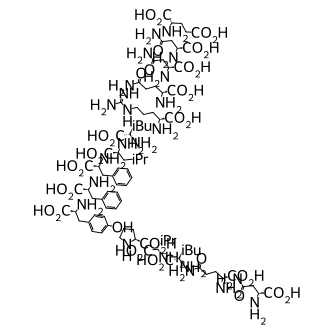 CC(C)C[C@H](N)C(=O)O.CC(C)[C@H](N)C(=O)O.CC[C@H](C)[C@H](N)C(=O)O.CC[C@H](C)[C@H](N)C(=O)O.N=C(N)NCCC[C@H](N)C(=O)O.NC(=O)CC[C@H](N)C(=O)O.NC(=O)CC[C@H](N)C(=O)O.NC(=O)C[C@H](N)C(=O)O.NC(=O)C[C@H](N)C(=O)O.NC(=O)C[C@H](N)C(=O)O.N[C@@H](CCC(=O)O)C(=O)O.N[C@@H](Cc1ccc(O)cc1)C(=O)O.N[C@@H](Cc1ccccc1)C(=O)O.N[C@@H](Cc1ccccc1)C(=O)O.O=C(O)[C@@H]1CCCN1